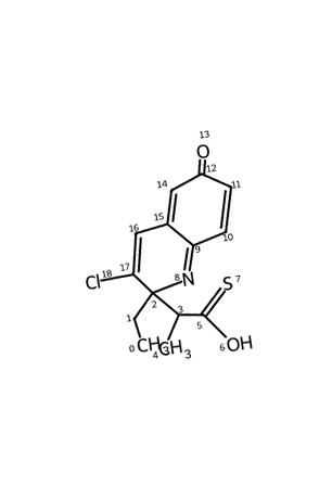 CCC1(C(C)C(O)=S)N=C2C=CC(=O)C=C2C=C1Cl